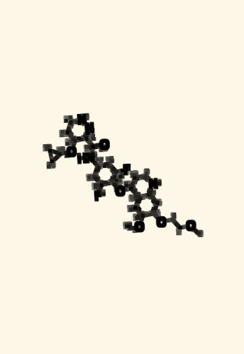 COCCOc1cc2nccc(Oc3c(F)cc(NC(=O)c4nnccc4OC4CC4)cc3F)c2cc1OC